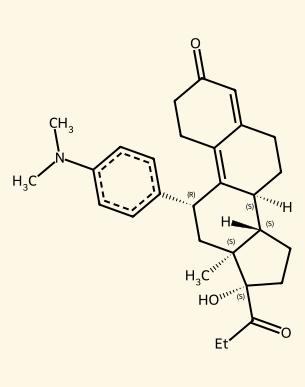 CCC(=O)[C@]1(O)CC[C@H]2[C@@H]3CCC4=CC(=O)CCC4=C3[C@@H](c3ccc(N(C)C)cc3)C[C@@]21C